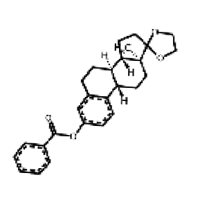 C[C@]12CC[C@@H]3c4ccc(OC(=O)c5ccccc5)cc4CC[C@H]3[C@@H]1CCC21OCCO1